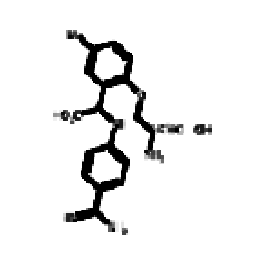 CCc1ccc(OCCN)c(C(Nc2ccc(C(=N)N)cc2)C(=O)O)c1.Cl.Cl.Cl